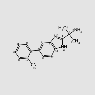 CC(C)(N)c1nc2cc(-c3ccccc3C#N)ccc2[nH]1